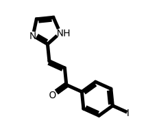 O=C(C=Cc1ncc[nH]1)c1ccc(I)cc1